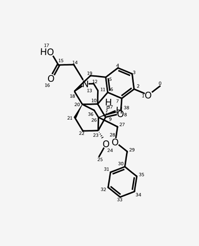 COc1ccc2c3c1O[C@@H]1C34CCN(CC(=O)O)C(C2)[C@]42CC[C@@]1(OC)[C@@H](COCc1ccccc1)C2